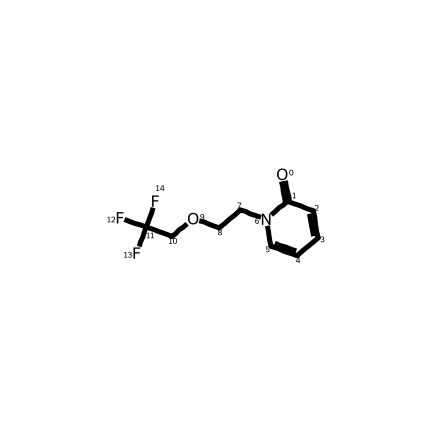 O=c1ccccn1CCOCC(F)(F)F